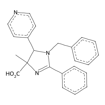 CC1(C(=O)O)N=C(c2ccccc2)N(Cc2ccccc2)C1c1ccncc1